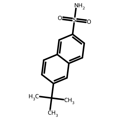 CC(C)(C)c1ccc2cc(S(N)(=O)=O)ccc2c1